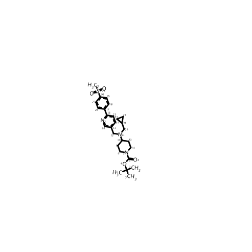 CC(C)(C)OC(=O)N1CCC(N(Cc2ccc(-c3ccc(S(C)(=O)=O)cc3)nc2)CC2CC2)CC1